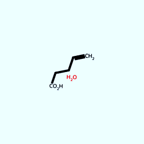 C=CCCC(=O)O.O